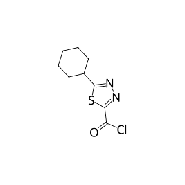 O=C(Cl)c1nnc(C2CCCCC2)s1